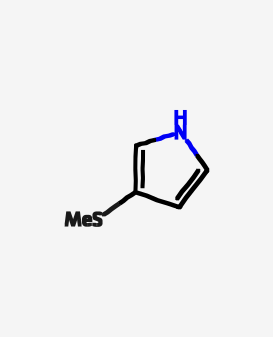 CSc1cc[nH]c1